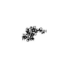 C=C[C@@H]1C[C@]1(NC(=O)[C@@H]1C[C@@H](Oc2cc(-c3coc(NC(C)C)n3)nc3c(Cl)c(OC)ccc23)CN1C(=O)C(NC(=O)O[C@@H]1C[C@@H]2C[C@@H]2C1)C(C)(C)C)C(=O)O